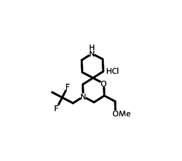 COCC1CN(CC(C)(F)F)CC2(CCNCC2)O1.Cl